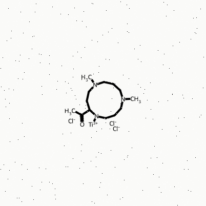 CC(=O)C1CCN(C)CCCN(C)CCC[N]1[Ti+3].[Cl-].[Cl-].[Cl-]